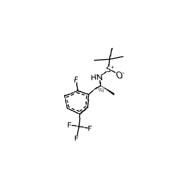 C[C@H](N[S+]([O-])C(C)(C)C)c1cc(C(F)(F)F)ccc1F